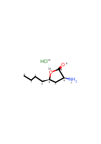 CCCC[C@@H]1C[C@H](N)C(=O)O1.Cl